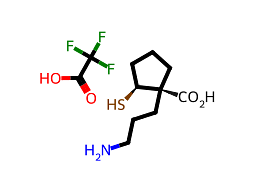 NCCC[C@@]1(C(=O)O)CCC[C@@H]1S.O=C(O)C(F)(F)F